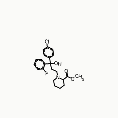 COC(=O)C1CCCCN1CCC(O)(c1ccc(Cl)cc1)c1ccccc1F